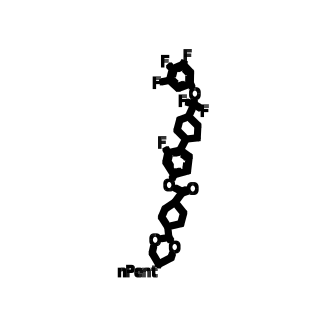 CCCCCC1COC(C2CCC(C(=O)Oc3ccc(C4CCC(C(F)(F)Oc5cc(F)c(F)c(F)c5)CC4)c(F)c3)CC2)OC1